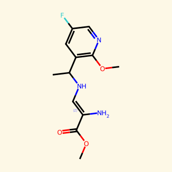 COC(=O)/C(N)=C/NC(C)c1cc(F)cnc1OC